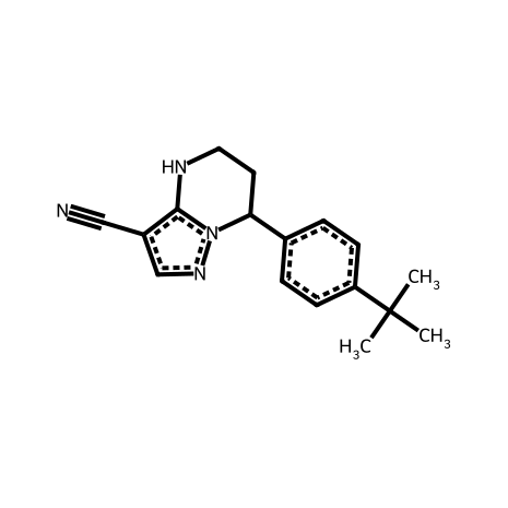 CC(C)(C)c1ccc(C2CCNc3c(C#N)cnn32)cc1